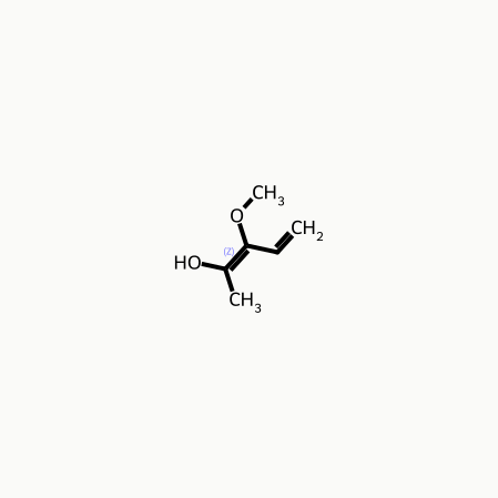 C=C/C(OC)=C(\C)O